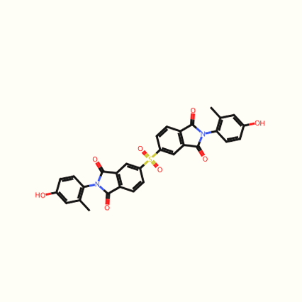 Cc1cc(O)ccc1N1C(=O)c2ccc(S(=O)(=O)c3ccc4c(c3)C(=O)N(c3ccc(O)cc3C)C4=O)cc2C1=O